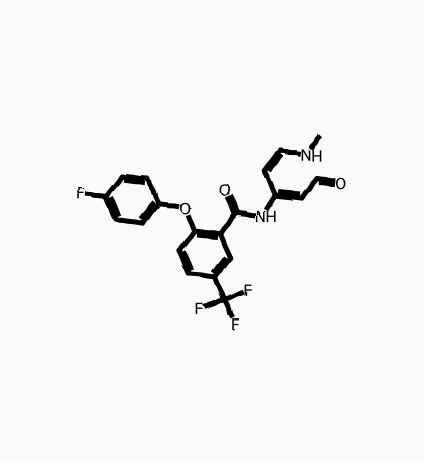 CN/C=C\C(=C/C=O)NC(=O)c1cc(C(F)(F)F)ccc1Oc1ccc(F)cc1